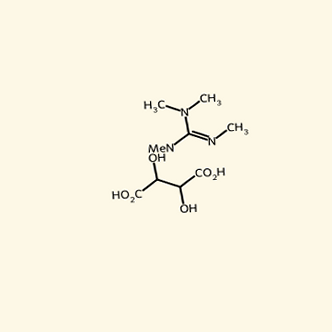 CN=C(NC)N(C)C.O=C(O)C(O)C(O)C(=O)O